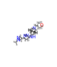 c1nn(C2CC2)cc1-c1ccc(NC2C[C@@H]3CN(CC4CCOCC4)C[C@@H]3C2)nn1